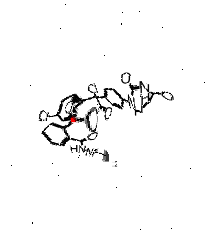 NNC(=O)c1ccccc1C(=O)OC(=O)C(Cl)(c1ccc(Cl)cc1)c1ccc(-n2ncc(=O)[nH]c2=O)cc1